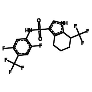 O=S(=O)(Nc1cc(F)c(C(F)(F)F)cc1F)c1c[nH]c2c1CCCC2C(F)(F)F